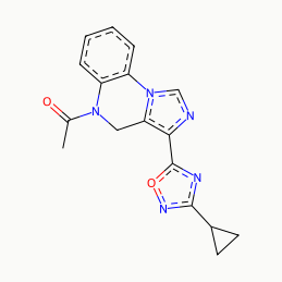 CC(=O)N1Cc2c(-c3nc(C4CC4)no3)ncn2-c2ccccc21